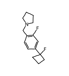 Fc1cc(C2(F)CCC2)ccc1CN1CCCC1